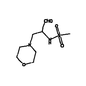 CS(=O)(=O)NC(C=O)CN1CCOCC1